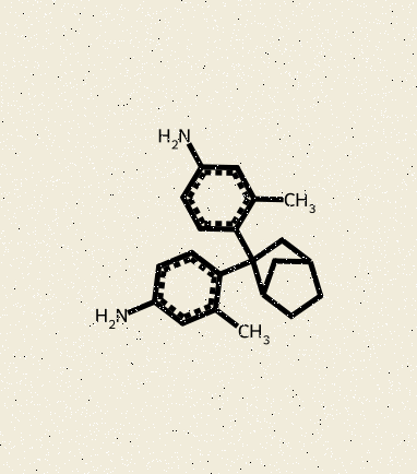 Cc1cc(N)ccc1C1(c2ccc(N)cc2C)CC2CCC1C2